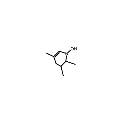 CC1=CN(O)C(C)C(C)C1